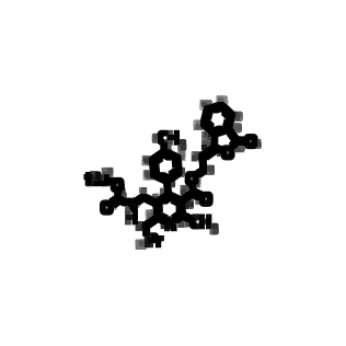 Cc1ccc(-c2c(CNC(=O)OC(C)(C)C)c(CC(C)C)nc(C)c2C(=O)OCC=C2OC(=O)c3ccccc32)cc1